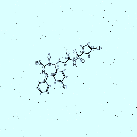 CCC(C)[C@@H]1N=C(c2ccccc2)c2cc(Cl)ccc2N(CCC(=O)NS(=O)(=O)c2ccc(Cl)s2)C1=O